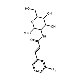 COC1OC(CO)C(O)C(O)C1NC(=O)/C=C/c1cccc(C(F)(F)F)c1